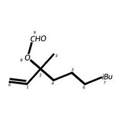 C=CC(C)(CCCC(C)CC)OC=O